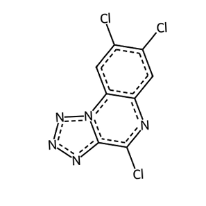 Clc1cc2nc(Cl)c3nnnn3c2cc1Cl